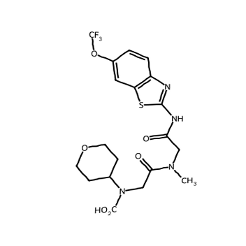 CN(CC(=O)Nc1nc2ccc(OC(F)(F)F)cc2s1)C(=O)CN(C(=O)O)C1CCOCC1